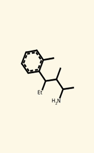 CCC(c1ccccc1C)C(C)C(C)N